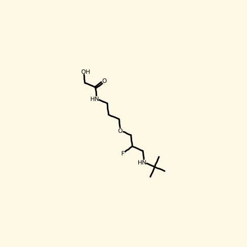 CC(C)(C)NCC(F)COCCCNC(=O)CO